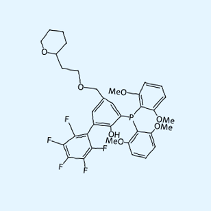 COc1cccc(OC)c1P(c1cc(COCCC2CCCCO2)cc(-c2c(F)c(F)c(F)c(F)c2F)c1O)c1c(OC)cccc1OC